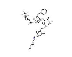 C=CCOC/C=C/[C@H]1CC(=C)C(CC[C@H]2C[C@@H](C)C(=C)C(C[C@@H]3O[C@H](C[C@H](C)CO[Si](C)(C)C(C)(C)C)[C@H](C)[C@H]3Cc3ccccc3)O2)O1